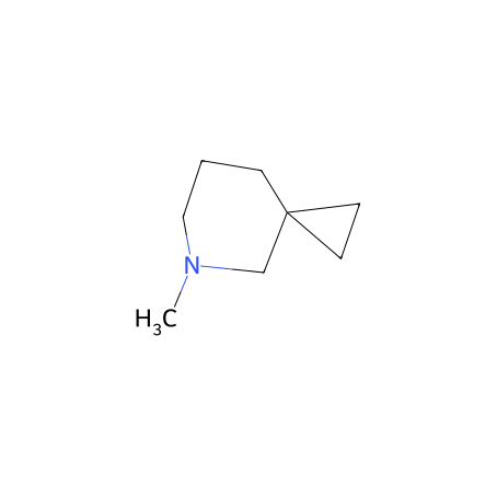 CN1CCCC2(CC2)C1